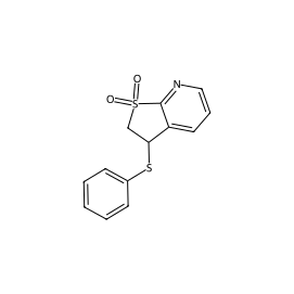 O=S1(=O)CC(Sc2ccccc2)c2cccnc21